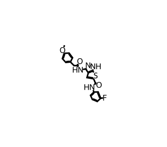 COc1ccc(CC(=O)Nc2n[nH]c3sc(C(=O)Nc4cccc(F)c4)cc23)cc1